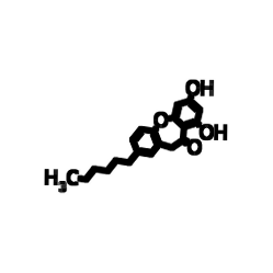 CCCCCCc1ccc2c(c1)CC(=O)c1c(O)cc(O)cc1O2